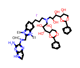 CCn1c(CN(C=O)c2nc3cc[nH]c3nc2N)[n+](CC)c2cc(CCCN(C[C@H](O)[C@@H](O)[C@@H]3OC(c4ccccc4)OC[C@H]3O)C[C@H](O)[C@@H](O)[C@@H]3OC(c4ccccc4)OC[C@H]3O)ccc21.[I-]